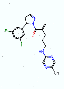 C=C(CCCNc1cnc(C#N)cn1)C(=O)N1N=CCC1c1cc(F)cc(F)c1